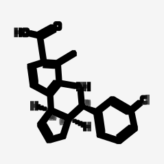 Cc1c(C(=O)O)ccc2c1N[C@@H](c1cccc(Cl)c1)[C@H]1CC=C[C@@H]21